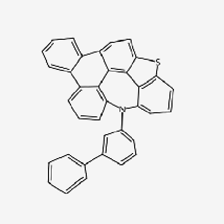 c1ccc(-c2cccc(-n3c4cccc5sc6ccc7c8ccccc8c8cccc3c8c7c6c54)c2)cc1